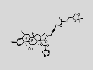 C[C@@H]1C[C@H]2[C@@H]3C[C@H](F)C4=CC(=O)C=C[C@]4(C)[C@@]3(F)[C@@H](O)C[C@]2(C)[C@@]1(OC(=O)c1ccco1)C(=O)SCC#CCOC(=O)OCC1COC(C)(C)O1